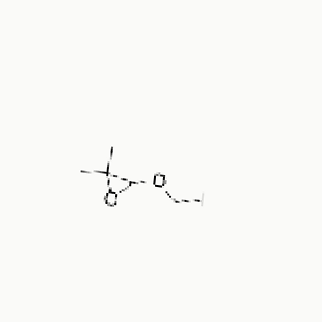 CC1(C)OC1OCI